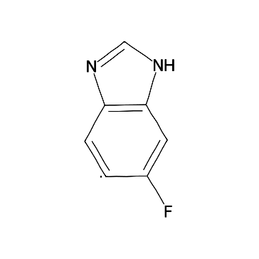 Fc1[c]cc2nc[nH]c2c1